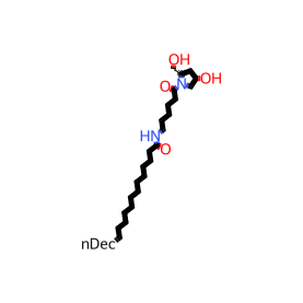 CCCCCCCCCCCCCCCCCCCCCCC(=O)NCCCCCC(=O)N1CC(O)C[C@H]1CO